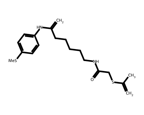 C=C(CCCCCNC(=O)CSC(=C)C)Nc1ccc(SC)cc1